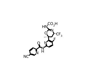 C[C@@]1(c2nc(NC(=O)c3ccc(C#N)cn3)ccc2F)C[C@@H](C(F)(F)F)N=C(NC(=O)O)O1